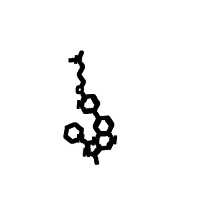 Cc1nc(N2CCCCC2)n2c1cnc1ccc(-c3ccc(OCCCN(C)C)nc3)cc12